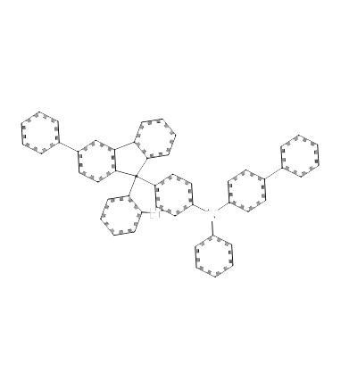 Brc1ccccc1C1(c2ccc(N(c3ccccc3)c3ccc(-c4ccccc4)cc3)cc2)c2ccccc2-c2cc(-c3ccccc3)ccc21